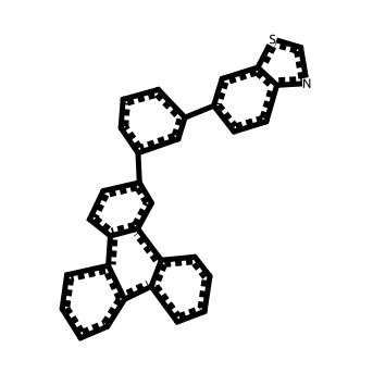 c1cc(-c2ccc3ncsc3c2)cc(-c2ccc3c4ccccc4c4ccccc4c3c2)c1